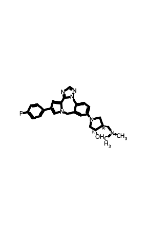 CN(C)C[C@@H]1CN(c2ccc3c(c2)Cn2cc(-c4ccc(F)cc4)cc2-c2ncnn2-3)C[C@H]1O